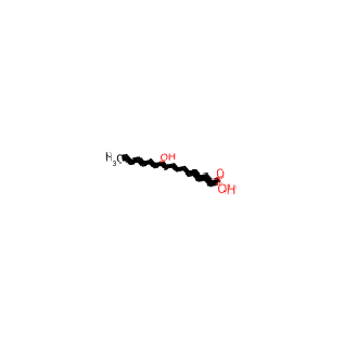 CCCCCCCC(O)CCCCCC=CC=CC(=O)O